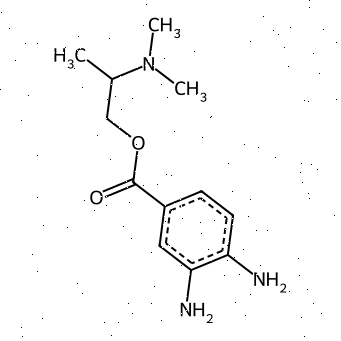 CC(COC(=O)c1ccc(N)c(N)c1)N(C)C